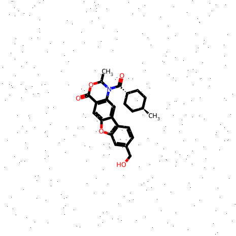 CC1OC(=O)c2cc3oc4cc(CO)ccc4c3cc2N1C(=O)[C@H]1CC[C@H](C)CC1